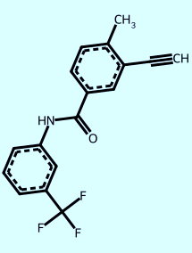 C#Cc1cc(C(=O)Nc2cccc(C(F)(F)F)c2)ccc1C